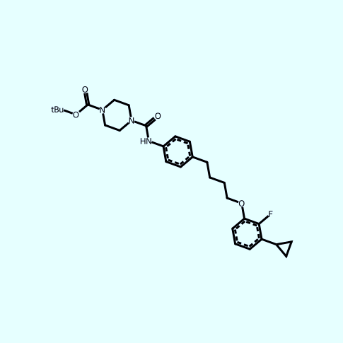 CC(C)(C)OC(=O)N1CCN(C(=O)Nc2ccc(CCCCOc3cccc(C4CC4)c3F)cc2)CC1